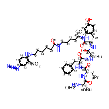 CCCC[C@H](NC=O)C(=O)N[C@@H](CC(C)C)C(=O)N[C@@H](Cc1ccccc1)C(=O)N[C@@H](CCCC)C(=O)N[C@@H](Cc1ccc(O)cc1)C(=O)N[C@@H](CCCCNC(=O)CCCCCNc1ccc(N=[N+]=[N-])cc1[N+](=O)[O-])C(=O)O